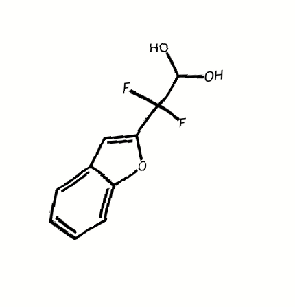 OC(O)C(F)(F)c1cc2ccccc2o1